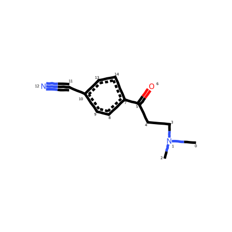 CN(C)CCC(=O)c1ccc(C#N)cc1